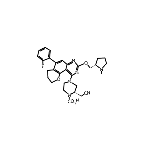 CN1CCC[C@H]1COc1nc(N2CCN(C(=O)O)[C@@H](CC#N)C2)c2c3c(c(-c4ccccc4F)cc2n1)CCCO3